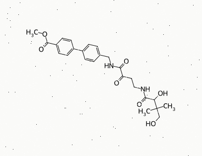 COC(=O)c1ccc(-c2ccc(CNC(=O)C(=O)CCNC(=O)C(O)C(C)(C)CO)cc2)cc1